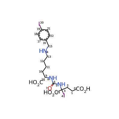 O=C(O)CCC(I)(NC(=O)N[C@@H](CCCCNCc1ccc(I)cc1)C(=O)O)C(=O)O